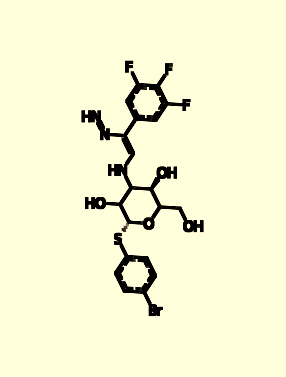 N=N/C(=C\NC1C(O)[C@@H](Sc2ccc(Br)cc2)OC(CO)[C@@H]1O)c1cc(F)c(F)c(F)c1